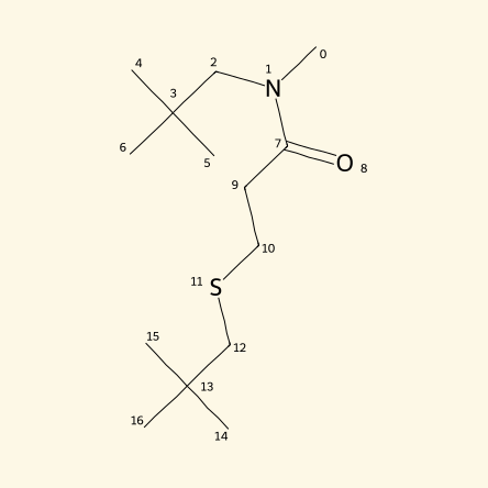 CN(CC(C)(C)C)C(=O)CCSCC(C)(C)C